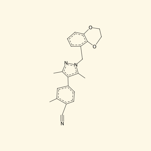 Cc1cc(-c2c(C)nn(Cc3cccc4c3OCCO4)c2C)ccc1C#N